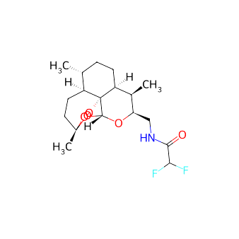 C[C@H]1[C@@H](CNC(=O)C(F)F)O[C@@H]2O[C@@]3(C)CC[C@H]4[C@H](C)CC[C@@H]1[C@@]24OO3